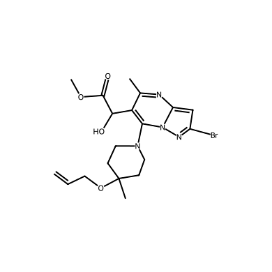 C=CCOC1(C)CCN(c2c(C(O)C(=O)OC)c(C)nc3cc(Br)nn23)CC1